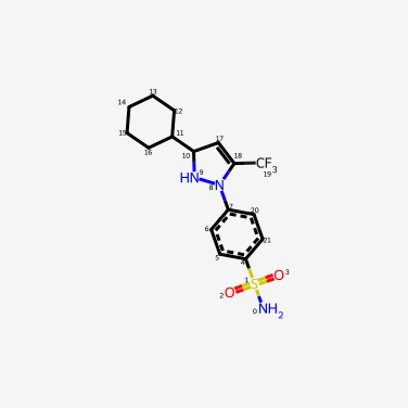 NS(=O)(=O)c1ccc(N2NC(C3CCCCC3)C=C2C(F)(F)F)cc1